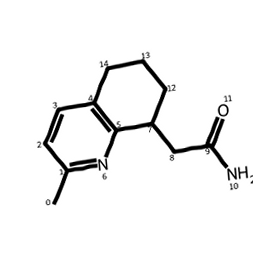 Cc1ccc2c(n1)C(CC(N)=O)CCC2